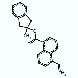 C=Cc1cccc2c(C(=O)OC3(C)Cc4ccccc4C3)cccc12